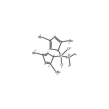 CCCCC1=CC(C(C)(C)C)=C[CH]1[Zr]([Cl])([Cl])([CH]1C=C(C(C)(C)C)C=C1CCCC)[SiH](C)C